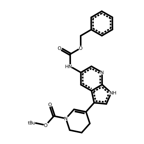 CC(C)(C)OC(=O)N1C=C(c2c[nH]c3ncc(NC(=O)OCc4ccccc4)cc23)CCC1